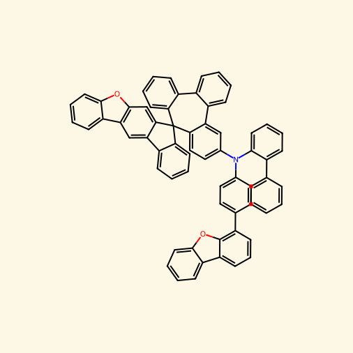 c1ccc(-c2ccccc2N(c2ccc(-c3cccc4c3oc3ccccc34)cc2)c2ccc3c(c2)-c2ccccc2-c2ccccc2C32c3ccccc3-c3cc4c(cc32)oc2ccccc24)cc1